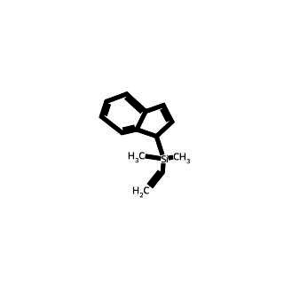 C=C[Si](C)(C)C1C=Cc2ccccc21